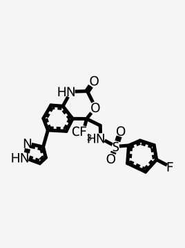 O=C1Nc2ccc(-c3cc[nH]n3)cc2C(CNS(=O)(=O)c2ccc(F)cc2)(C(F)(F)F)O1